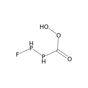 O=C(OO)PPF